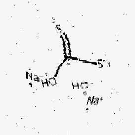 OC(=S)[S-].[Na+].[Na+].[OH-]